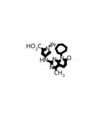 Cc1nc(Nc2cc(C(=O)O)n(C(C)C)c2)nc2c1ccc(=O)n2C1CCCCCC1